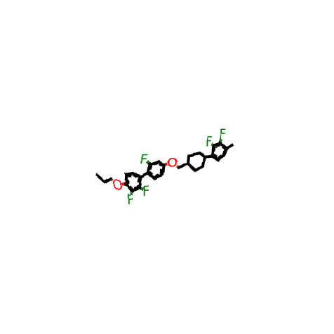 CCCOc1ccc(-c2ccc(OCC3CCC(c4ccc(C)c(F)c4F)CC3)cc2F)c(F)c1F